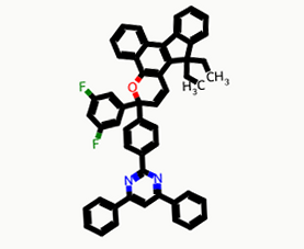 CCC1(CC)c2ccccc2-c2c1c1c(c3ccccc23)OC(c2ccc(-c3nc(-c4ccccc4)cc(-c4ccccc4)n3)cc2)(c2cc(F)cc(F)c2)C=C1